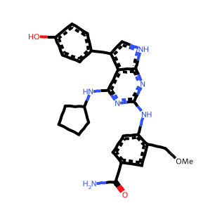 COCc1cc(C(N)=O)ccc1Nc1nc(NC2CCCC2)c2c(-c3ccc(O)cc3)c[nH]c2n1